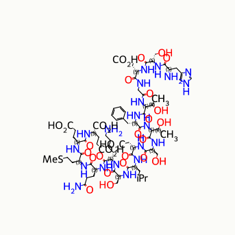 CSCC[C@H](NC(=O)[C@H](CCC(N)=O)NC(=O)[C@H](CCCCN)NC(=O)[C@H](CO)NC(=O)[C@H](CC(C)C)NC(=O)[C@H](CC(=O)O)NC(=O)[C@H](CO)NC(=O)[C@@H](NC(=O)[C@H](Cc1ccccc1)NC(=O)[C@@H](NC(=O)CNC(=O)[C@H](CC(=O)O)NC(=O)[C@H](CO)NC(=O)[C@@H](N)Cc1c[nH]cn1)[C@@H](C)O)[C@@H](C)O)C(=O)N[C@@H](CCC(=O)O)C(=O)N[C@@H](CCC(=O)O)C(=O)O